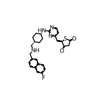 O=C1CC(=O)/C(=C/c2ccnc(N[C@H]3CC[C@H](CNCc4ccc5cc(F)ccc5c4)CC3)n2)S1